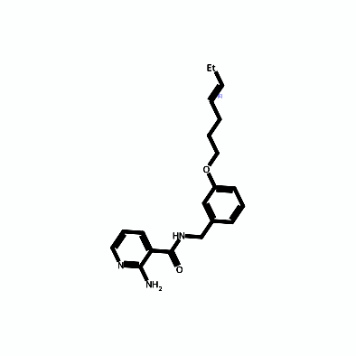 CC/C=C/CCCOc1cccc(CNC(=O)c2cccnc2N)c1